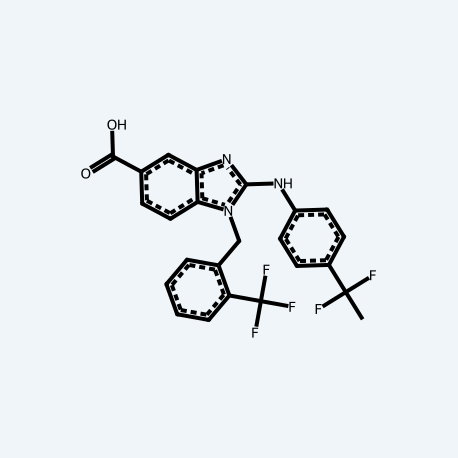 CC(F)(F)c1ccc(Nc2nc3cc(C(=O)O)ccc3n2Cc2ccccc2C(F)(F)F)cc1